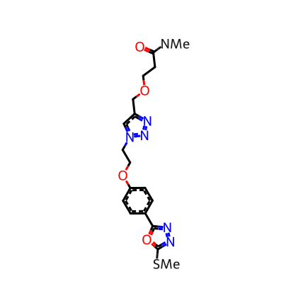 CNC(=O)CCOCc1cn(CCOc2ccc(-c3nnc(SC)o3)cc2)nn1